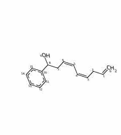 C=CC/C=C\C=C/CC(O)c1ccccc1